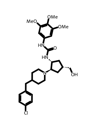 COc1cc(NC(=O)N[C@@H]2C[C@H](CO)C[C@H]2N2CCC(Cc3ccc(Cl)cc3)CC2)cc(OC)c1OC